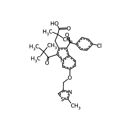 Cc1nc(COc2ccc3c(C(=O)c4ccc(Cl)cc4)c(CC(C)(C)C(=O)O)c(C(=O)C(C)(C)C)n3c2)cs1